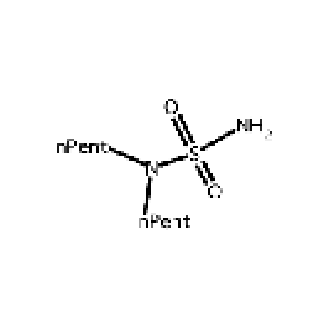 CCCCCN(CCCCC)S(N)(=O)=O